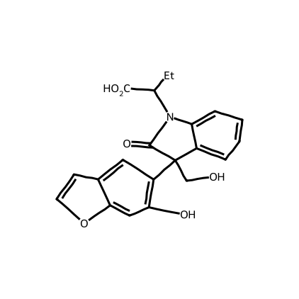 CCC(C(=O)O)N1C(=O)C(CO)(c2cc3ccoc3cc2O)c2ccccc21